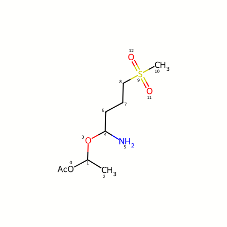 CC(=O)OC(C)OC(N)CCCS(C)(=O)=O